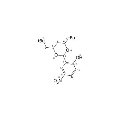 CC(C)(C)CC1CC(C(C)(C)C)OC(c2cc([N+](=O)[O-])ccc2O)O1